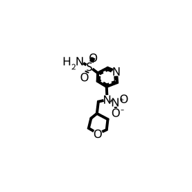 NS(=O)(=O)c1cncc(N(CC2CCOCC2)[N+](=O)[O-])c1